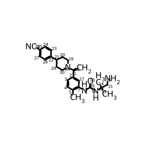 C=C(c1ccc(C)c(NC(=O)NC(C)(C)CN)c1)N1CCC(c2ccc(C#N)cc2)CC1